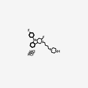 Cl.Cl.Cl.Fc1ccc(N2c3ccccc3C3CN(CCCCN4CCNCC4)C(F)CC32)cc1